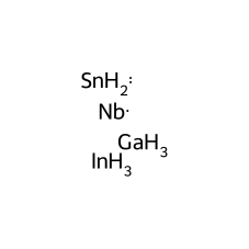 [GaH3].[InH3].[Nb].[SnH2]